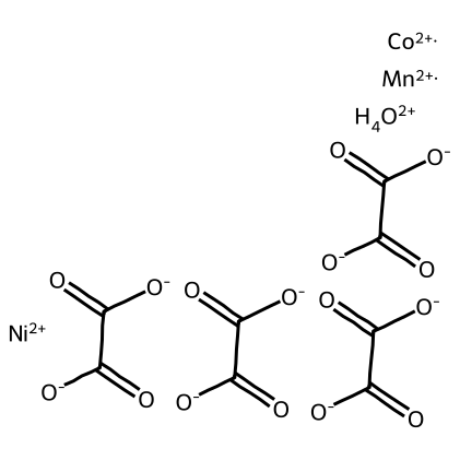 O=C([O-])C(=O)[O-].O=C([O-])C(=O)[O-].O=C([O-])C(=O)[O-].O=C([O-])C(=O)[O-].[Co+2].[Mn+2].[Ni+2].[OH4+2]